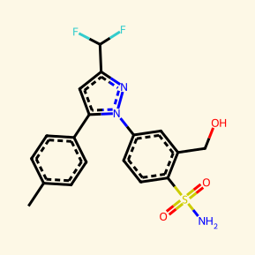 Cc1ccc(-c2cc(C(F)F)nn2-c2ccc(S(N)(=O)=O)c(CO)c2)cc1